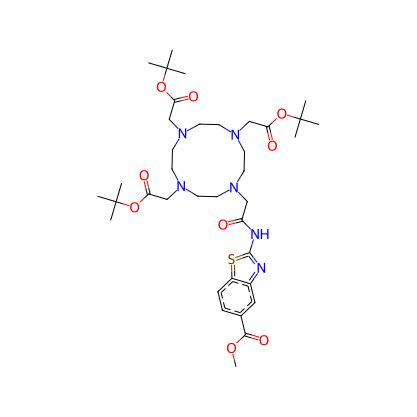 COC(=O)c1ccc2sc(NC(=O)CN3CCN(CC(=O)OC(C)(C)C)CCN(CC(=O)OC(C)(C)C)CCN(CC(=O)OC(C)(C)C)CC3)nc2c1